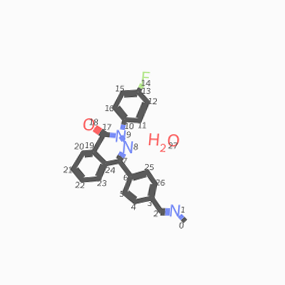 C/N=C/c1ccc(-c2nn(-c3ccc(F)cc3)c(=O)c3ccccc23)cc1.O